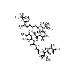 CC[C@H](C)[C@@H]([C@@H](CC(=O)NCCC[C@@H]1C[C@@]1(OC)[C@@H](C)C(=O)N[C@@H](C)C(=O)O)OC)N(C)C(=O)[C@@H](NC(=O)[C@H](C(C)C)N(C)CCCCCN(C)C(=O)OC(C)(C)C)C(C)C